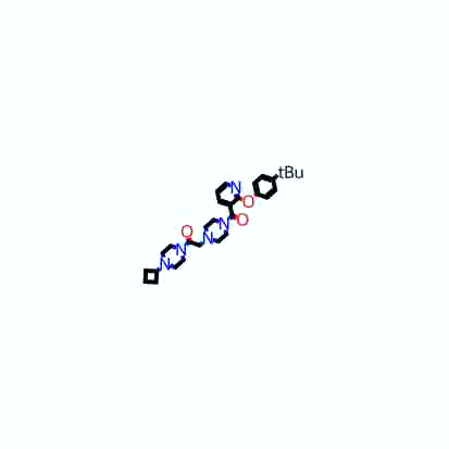 CC(C)(C)c1ccc(Oc2ncccc2C(=O)N2CCN(CC(=O)N3CCN(C4CCC4)CC3)CC2)cc1